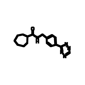 O=C(NCc1ccc(-c2nncnn2)cc1)C1CCCCCC1